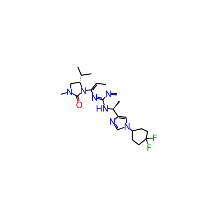 C=N/C(=N\C(=C/C)N1C(=O)N(C)C[C@@H]1C(C)C)N[C@@H](C)c1cn(C2CCC(F)(F)CC2)cn1